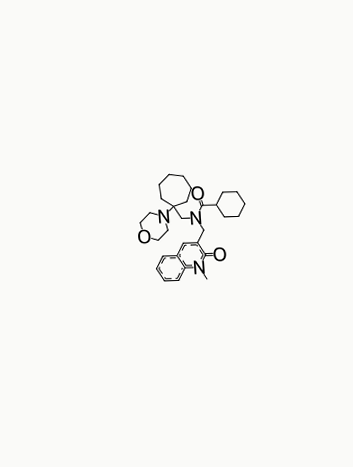 Cn1c(=O)c(CN(CC2(N3CCOCC3)CCCCCC2)C(=O)C2CCCCC2)cc2ccccc21